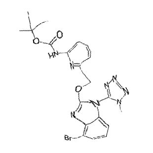 Cn1nnnc1-n1c(OCc2cccc(NC(=O)OC(C)(C)C)n2)nc2c(Br)cccc21